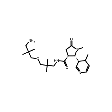 CC1C=CN=CC1[C@@H]1[C@@H](C(=O)NCC(C)(C)COCC(C)(C)CN)CC(=O)N1C